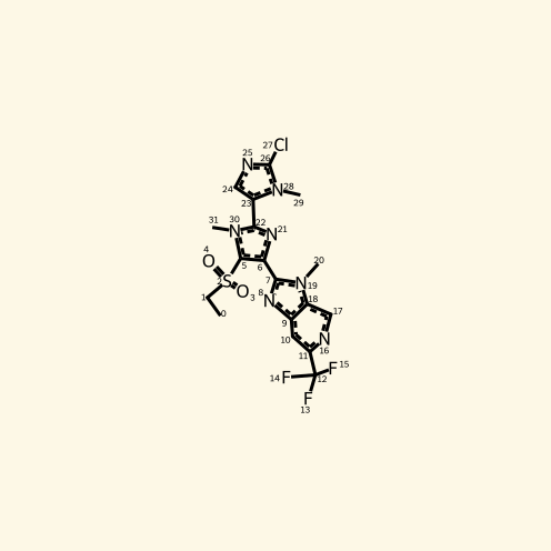 CCS(=O)(=O)c1c(-c2nc3cc(C(F)(F)F)ncc3n2C)nc(-c2cnc(Cl)n2C)n1C